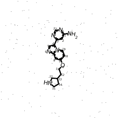 Nc1cc(-c2cnc3cc(OCCC4CCNC4)ccn23)ncn1